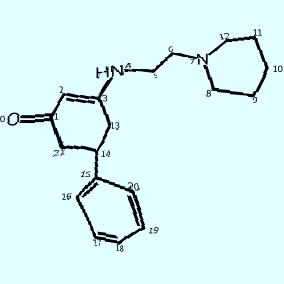 O=C1C=C(NCCN2CCCCC2)CC(c2ccccc2)C1